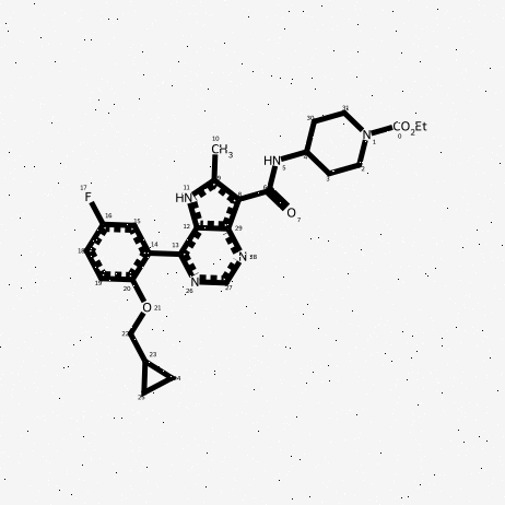 CCOC(=O)N1CCC(NC(=O)c2c(C)[nH]c3c(-c4cc(F)ccc4OCC4CC4)ncnc23)CC1